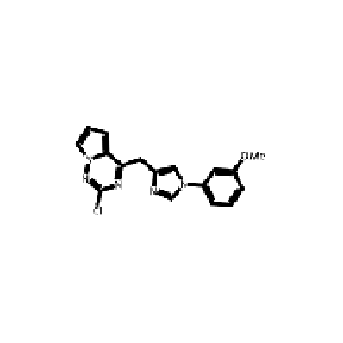 COc1cccc(-n2cnc(Cc3nc(Cl)nn4cccc34)c2)c1